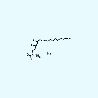 CCCCCCCCCCCCCC(=O)OC(=O)CC[C@H](N)C(=O)[O-].[Na+]